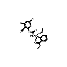 CCN=S(=O)(NC(=O)Nc1nc(Cl)cc(C)c1C#N)c1ccccc1C(=O)OC